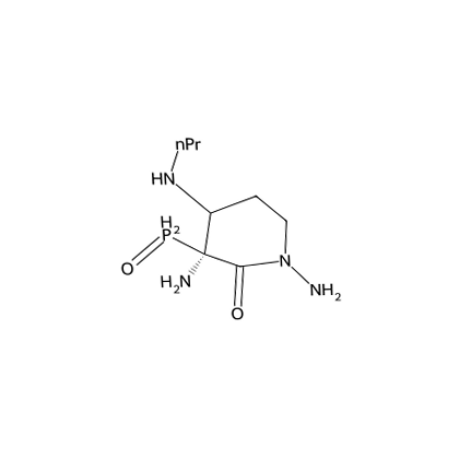 CCCNC1CCN(N)C(=O)[C@@]1(N)[PH2]=O